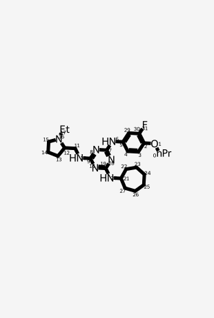 CCCOc1ccc(Nc2nc(NCC3CCCN3CC)nc(NC3CCCCCC3)n2)cc1F